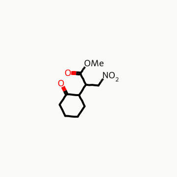 COC(=O)C(C[N+](=O)[O-])C1CCCCC1=O